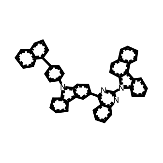 c1ccc2c(-c3ccc(-n4c5ccccc5c5cc(-c6nc(-n7c8ccccc8c8c9ccccc9ccc87)nc7ccccc67)ccc54)cc3)cccc2c1